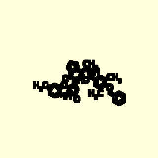 Cc1cc(C(=O)N[C@@H](C)C(=O)N2CCC[C@H]2C(=O)N[C@H]2CC(=O)OC2O[C@@H]2C[C@H](C)CC[C@H]2C(C)C)cc(C)c1OCc1ccccc1